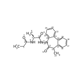 CCC(=O)N[C@@H](C)C(=O)NN1C(=O)C(C)c2ccccc2-c2ccccc21